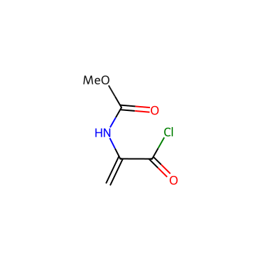 C=C(NC(=O)OC)C(=O)Cl